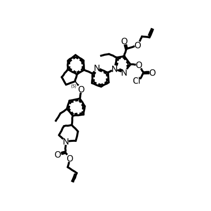 C=CCOC(=O)c1c(OC(=O)Cl)nn(-c2cccc(-c3cccc4c3[C@@H](Oc3ccc(C5CCN(C(=O)OCC=C)CC5)c(CC)c3)CC4)n2)c1CC